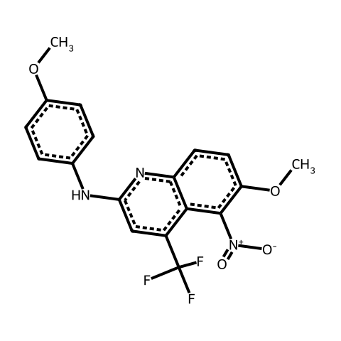 COc1ccc(Nc2cc(C(F)(F)F)c3c([N+](=O)[O-])c(OC)ccc3n2)cc1